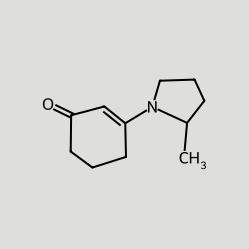 CC1CCCN1C1=CC(=O)CCC1